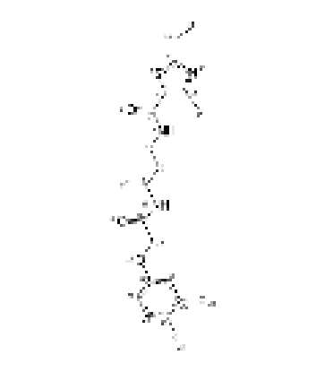 C=C(CCNC(=O)c1sc(CC)nc1C)NC(=O)COc1ccc(Cl)c(F)c1